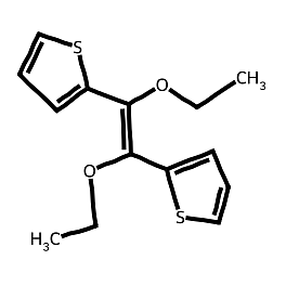 CCOC(=C(OCC)c1cccs1)c1cccs1